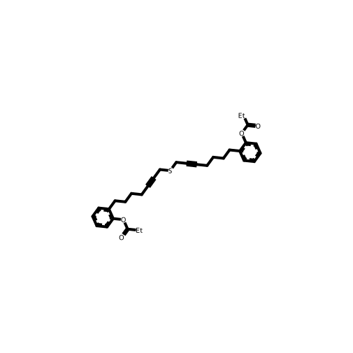 CCC(=O)Oc1ccccc1CCCCC#CCSCC#CCCCCc1ccccc1OC(=O)CC